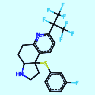 Fc1cccc(SC23CCNC2CCc2nc(C(F)(C(F)(F)F)C(F)(F)F)ccc23)c1